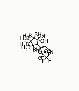 BC1(B)C(/C(=C/C#N)OS(=O)(=O)C(F)(F)F)C(O)(O)C(B)(B)C1(B)B